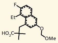 CCc1c(F)ccc2cc(OCOC)cc(CC(C)(C)C(=O)O)c12